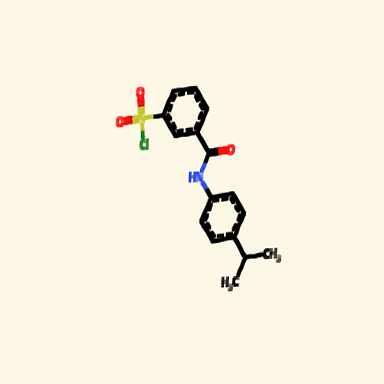 CC(C)c1ccc(NC(=O)c2cccc(S(=O)(=O)Cl)c2)cc1